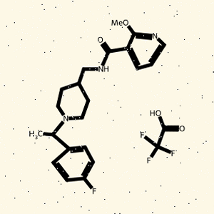 COc1ncccc1C(=O)NCC1CCN(C(C)c2ccc(F)cc2)CC1.O=C(O)C(F)(F)F